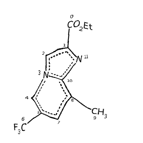 CCOC(=O)c1cn2cc(C(F)(F)F)cc(C)c2n1